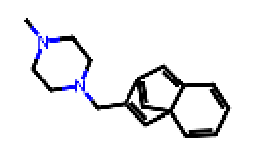 CN1CCN(CC2=CC34C=CC=CC3=CC2=C4)CC1